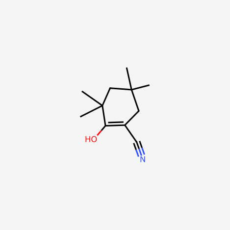 CC1(C)CC(C#N)=C(O)C(C)(C)C1